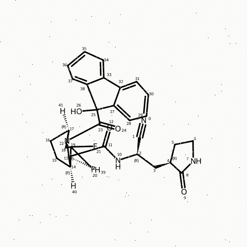 N#C[C@@H](C[C@H]1CCNC1=O)NC(=O)[C@H]1[C@H]2CC[C@H](CC2(F)F)N1C(=O)C1(O)c2ccccc2-c2ccccc21